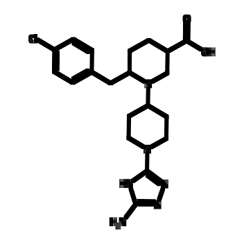 Nc1nnc(N2CCC(N3CC(C(=O)O)CCC3Cc3ccc(Cl)cc3)CC2)[nH]1